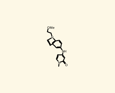 COCCn1ccc2cc(Nc3ccn(C)c(=O)c3)ccc21